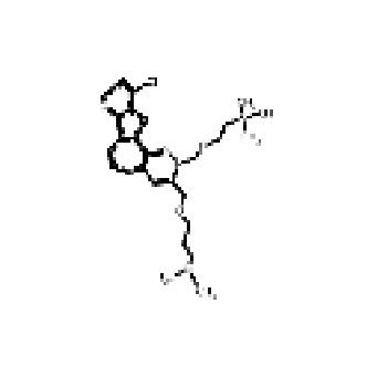 CN(C)CCCOCC1=Cc2cccc3c(cc4c(Cl)ccoc43)c2=NN1COCC[Si](C)(C)C